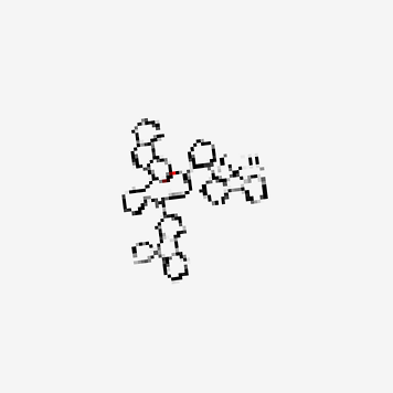 CC1(C)c2ccccc2-c2cccc(-c3ccccc3-c3ccc(N(c4ccc5c(c4)C4(CCCC4)c4ccccc4-5)c4ccccc4-c4cccc5c4ccc4ccccc45)cc3)c21